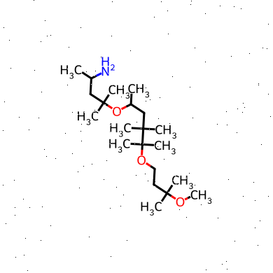 COC(C)(C)CCOC(C)(C)C(C)(C)CC(C)OC(C)(C)CC(C)N